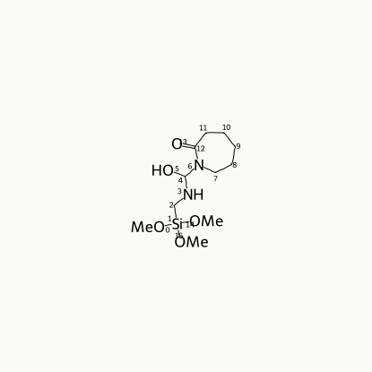 CO[Si](CNC(O)N1CCCCCC1=O)(OC)OC